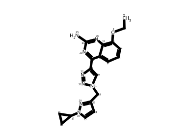 CCOc1cccc2c(-c3cn(Cc4ccn(C5CC5)n4)nn3)nc(N)nc12